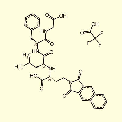 CC(C)C[C@H](N[C@H](CCN1C(=O)c2cc3ccccc3cc2C1=O)C(=O)O)C(=O)N[C@@H](Cc1ccccc1)C(=O)NCC(=O)O.O=C(O)C(F)(F)F